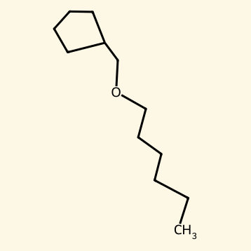 CCCCCCOCC1CCCC1